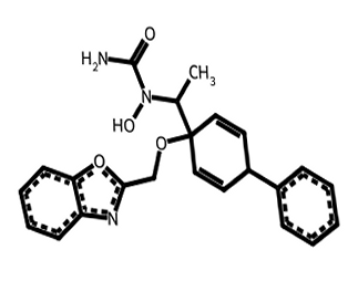 CC(N(O)C(N)=O)C1(OCc2nc3ccccc3o2)C=CC(c2ccccc2)C=C1